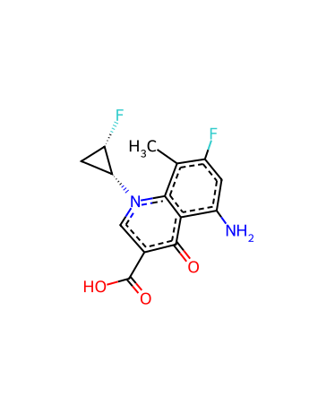 Cc1c(F)cc(N)c2c(=O)c(C(=O)O)cn([C@@H]3C[C@@H]3F)c12